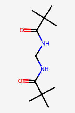 CC(C)(C)C(=O)NCNC(=O)C(C)(C)C